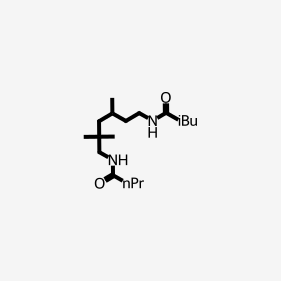 CCCC(=O)NCC(C)(C)CC(C)CCNC(=O)C(C)CC